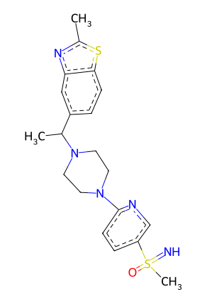 Cc1nc2cc(C(C)N3CCN(c4ccc(S(C)(=N)=O)cn4)CC3)ccc2s1